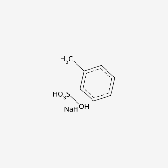 Cc1ccccc1.O=S(=O)(O)O.[NaH]